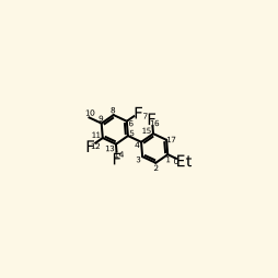 CCc1ccc(-c2c(F)cc(C)c(F)c2F)c(F)c1